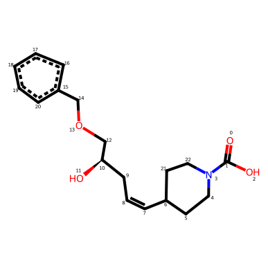 O=C(O)N1CCC(/C=C\C[C@@H](O)COCc2ccccc2)CC1